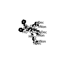 CCCCCCCCCCC[C@H](CC(=O)NCCO[C@@H]1O[C@H](CO)[C@@H](OP(=O)(OCc2ccccc2)OCc2ccccc2)[C@H](OC(=O)C[C@@H](CCCCCCCCCCC)OC(=O)CCCCCCCCC)[C@H]1NC(=O)C[C@@H](CCCCCCCCCCC)OC(=O)CCCCCCCCC)OC(=O)CCCCCCCCC